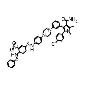 Cc1c(C(N)=O)c(-c2cccc(N3CCN(c4ccc(NSC5C=C([N+](=O)[O-])C(NSc6ccccc6)CC5)cc4)CC3)c2)c(-c2ccc(Cl)cc2)n1C